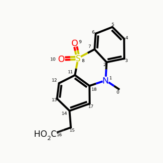 CN1c2ccccc2S(=O)(=O)c2ccc(CC(=O)O)cc21